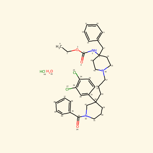 CCOC(=O)NC1(Cc2ccccc2)CCN(CCCC2(c3ccc(Cl)c(Cl)c3)CCCN(C(=O)c3ccccc3)C2)CC1.Cl.O